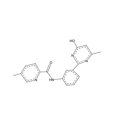 Cc1ccc(C(=O)Nc2cccc(-c3nc(C)cc(O)n3)c2)nc1